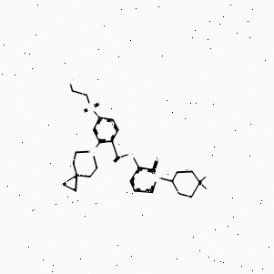 O=C(Nc1cccn(C2CCC(F)(F)CC2)c1=O)c1ccc(S(=O)(=O)CCO)cc1N1CCC2(CC1)CC2